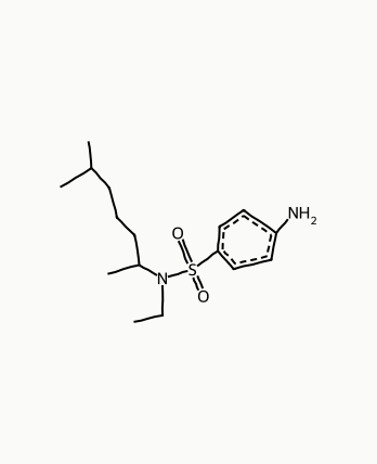 CCN(C(C)CCCC(C)C)S(=O)(=O)c1ccc(N)cc1